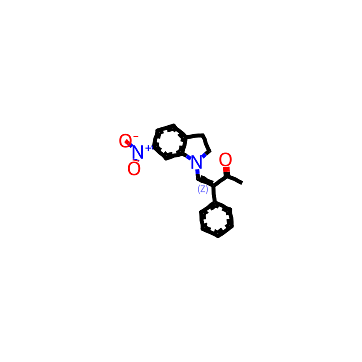 CC(=O)/C(=C\N1CCc2ccc([N+](=O)[O-])cc21)c1ccccc1